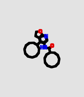 O=C(Nc1cnc2c(c1C1CCCCCCCCCC1)CCO2)C1CCCCCCCCCC1